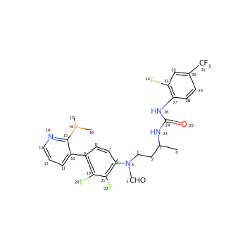 CC(CCN(C=O)c1ccc(-c2cccnc2P(C)C)c(F)c1F)NC(=O)Nc1ccc(C(F)(F)F)cc1F